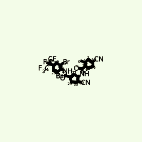 Cc1cc(C#N)ccc1C(=O)Nc1cc(C(=O)Nc2c(Br)cc(C(F)(C(F)(F)F)C(F)(F)F)cc2Br)ccc1C#N